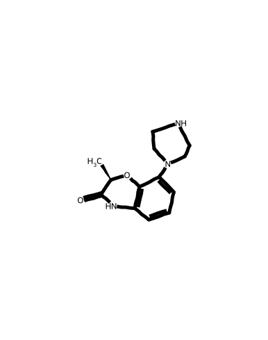 C[C@H]1Oc2c(cccc2N2CCNCC2)NC1=O